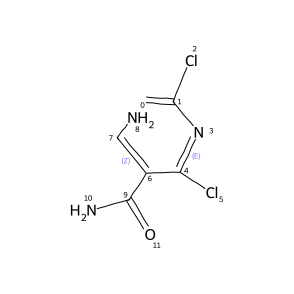 C=C(Cl)/N=C(Cl)\C(=C/N)C(N)=O